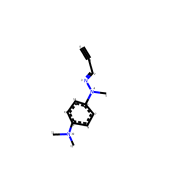 C#CC=NN(C)c1ccc(N(C)C)cc1